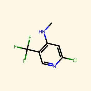 CNc1cc(Cl)ncc1C(F)(F)F